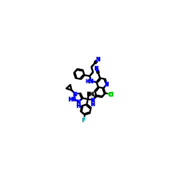 BC(Nc1cc(Cl)c2ncc(C#N)c(NC(CCC#N)c3ccccc3)c2c1)(C1=CN(C2CC2)NN1)c1ccc(F)cc1